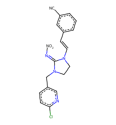 N#Cc1cccc(/C=C/N2CCN(Cc3ccc(Cl)nc3)/C2=N/[N+](=O)[O-])c1